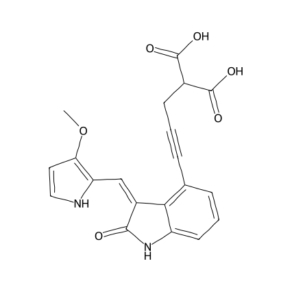 COc1cc[nH]c1/C=C1\C(=O)Nc2cccc(C#CCC(C(=O)O)C(=O)O)c21